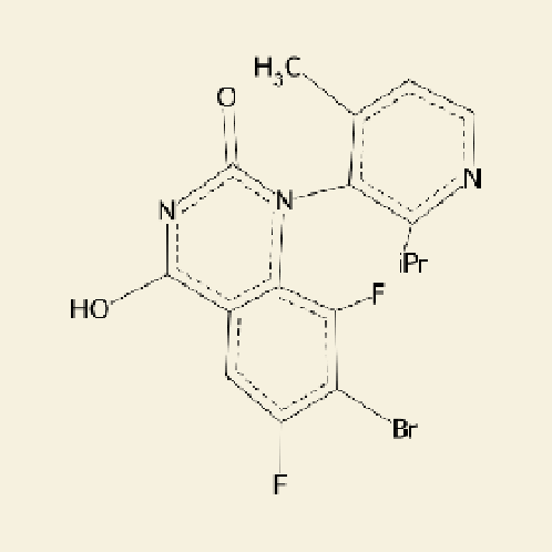 Cc1ccnc(C(C)C)c1-n1c(=O)nc(O)c2cc(F)c(Br)c(F)c21